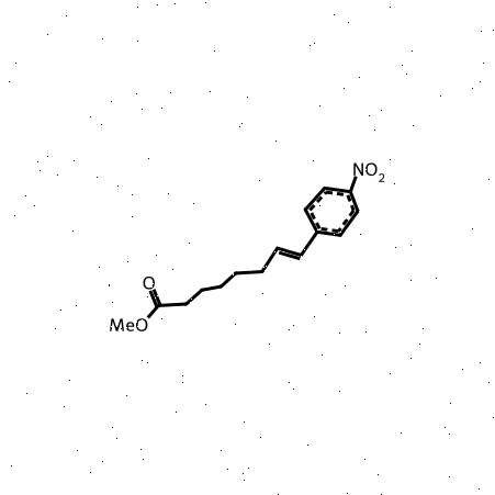 COC(=O)CCCCC/C=C/c1ccc([N+](=O)[O-])cc1